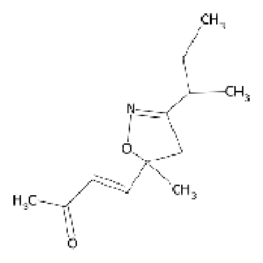 CCC(C)C1=NOC(C)(C=CC(C)=O)C1